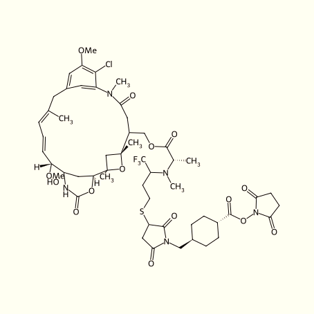 COc1cc2cc(c1Cl)N(C)C(=O)CC(COC(=O)[C@H](C)N(C)C(CCSC1CC(=O)N(C[C@H]3CC[C@H](C(=O)ON4C(=O)CCC4=O)CC3)C1=O)C(F)(F)F)[C@@]1(C)CC(C)(O1)[C@@H]1C[C@@](O)(NC(=O)O1)[C@H](OC)/C=C/C=C(\C)C2